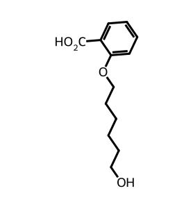 O=C(O)c1ccccc1OCCCCCCO